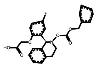 O=C(O)COc1ccc(F)cc1[C@@H]1c2ccccc2CCN1OC(=O)OCc1ccccc1